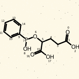 O=C(O)CCC(OP(O)c1ccccc1)C(=O)O